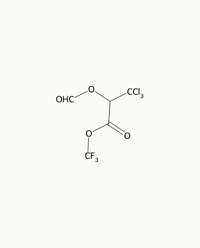 O=COC(C(=O)OC(F)(F)F)C(Cl)(Cl)Cl